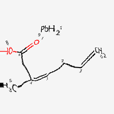 C=CCC=C(C)C(=O)O.[PbH2]